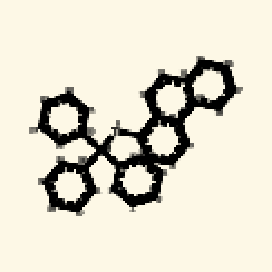 c1ccc([C]([Ti][c]2cccc3c2ccc2ccccc23)(c2ccccc2)c2ccccc2)cc1